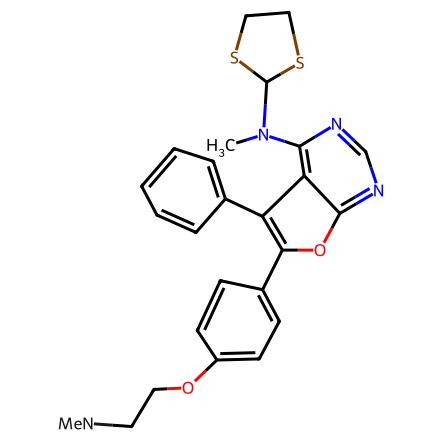 CNCCOc1ccc(-c2oc3ncnc(N(C)C4SCCS4)c3c2-c2ccccc2)cc1